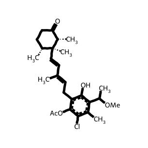 COC(C)c1c(C)c(Cl)c(OC(C)=O)c(C/C=C(C)/C=C/[C@@]2(C)[C@H](C)CCC(=O)[C@@H]2C)c1O